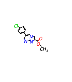 CCOC(=O)c1cn2cc(-c3ccc(Cl)cc3)cnc2n1